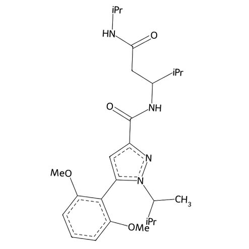 COc1cccc(OC)c1-c1cc(C(=O)NC(CC(=O)NC(C)C)C(C)C)nn1C(C)C(C)C